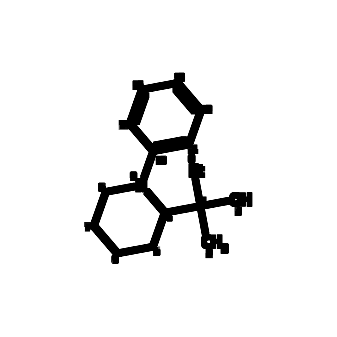 CCC(C)(O)C1CCCCN1c1ccccc1